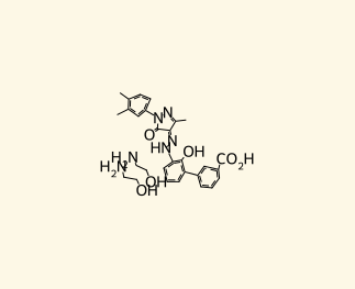 CC1=NN(c2ccc(C)c(C)c2)C(=O)/C1=N\Nc1cccc(-c2cccc(C(=O)O)c2)c1O.NCCO.NCCO